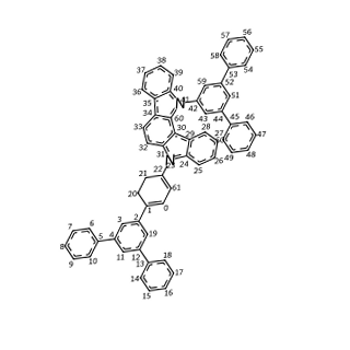 C1=C(c2cc(-c3ccccc3)cc(-c3ccccc3)c2)CCC(n2c3ccccc3c3c2ccc2c4ccccc4n(-c4cc(-c5ccccc5)cc(-c5ccccc5)c4)c23)=C1